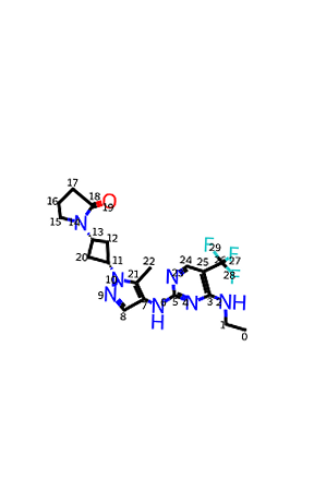 CCNc1nc(Nc2cnn([C@H]3C[C@@H](N4CCCC4=O)C3)c2C)ncc1C(F)(F)F